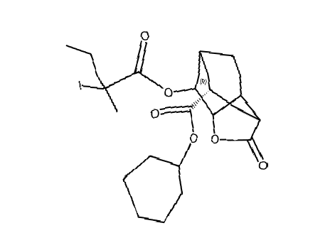 CCC(C)(I)C(=O)OC1C2OC(=O)C3C2CC1[C@H]3C(=O)OC1CCCCC1